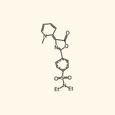 CCN(CC)S(=O)(=O)c1ccc(C2=NC(=C3C=CC=CN3C)C(=O)O2)cc1